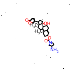 CC12CCC(OC(=O)N3CCC(N)C3)C=C1CCC1C2CCC2(C)C(c3ccc(=O)oc3)CCC12O